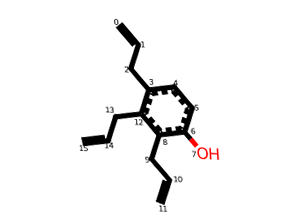 C=CCc1c[c]c(O)c(CC=C)c1CC=C